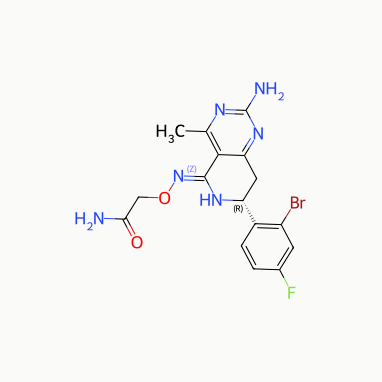 Cc1nc(N)nc2c1/C(=N/OCC(N)=O)N[C@@H](c1ccc(F)cc1Br)C2